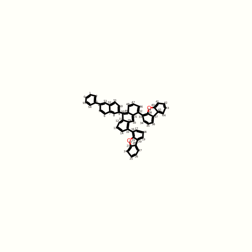 c1ccc(-c2ccc3cc(-c4c5cccc(-c6cccc7c6oc6ccccc67)c5cc5c(-c6cccc7c6oc6ccccc67)cccc45)ccc3c2)cc1